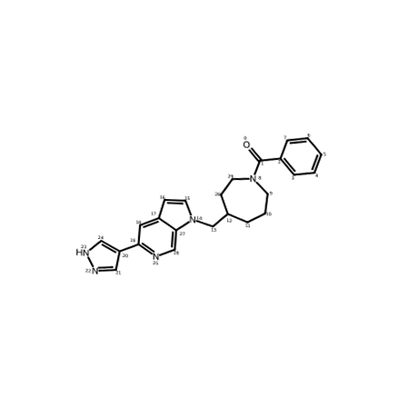 O=C(c1ccccc1)N1CCCC(Cn2ccc3cc(-c4cn[nH]c4)ncc32)CC1